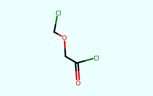 O=C(Cl)COCCl